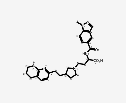 Cn1ncc2cc(C(=O)NC(CCN3CCC(CCc4ccc5c(n4)NCCC5)C3)C(=O)O)ccc21